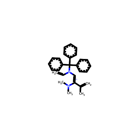 C=CN(/C=C(/C(=C)C)N(C)C)C(c1ccccc1)(c1ccccc1)c1ccccc1